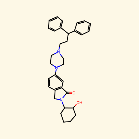 O=C1c2cc(N3CCN(CCC(c4ccccc4)c4ccccc4)CC3)ccc2CN1C1CCCCC1O